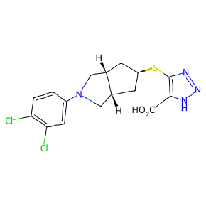 O=C(O)c1[nH]nnc1S[C@H]1C[C@@H]2CN(c3ccc(Cl)c(Cl)c3)C[C@@H]2C1